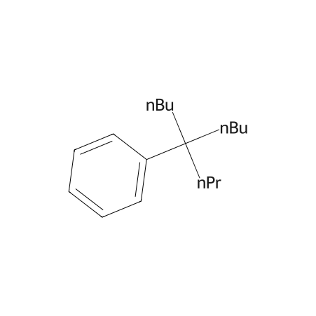 [CH2]CCC(CCCC)(CCCC)c1ccccc1